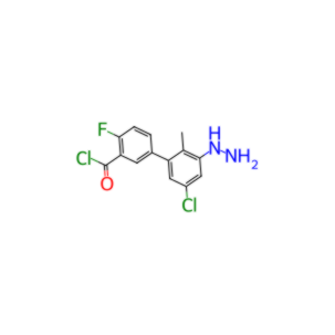 Cc1c(NN)cc(Cl)cc1-c1ccc(F)c(C(=O)Cl)c1